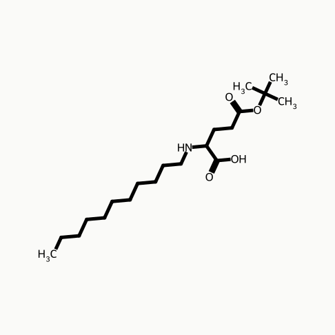 CCCCCCCCCCCNC(CCC(=O)OC(C)(C)C)C(=O)O